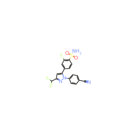 N#Cc1ccc(-n2nc(C(F)F)cc2-c2ccc(S(N)(=O)=O)c(F)c2)cc1